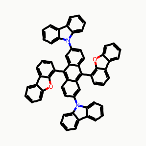 c1ccc2c(c1)oc1c(-c3c4ccc(-n5c6ccccc6c6ccccc65)cc4c(-c4cccc5c4oc4ccccc45)c4ccc(-n5c6ccccc6c6ccccc65)cc34)cccc12